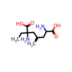 C=C(CC(N)C(=O)O)CC(N)(CC)C(=O)O